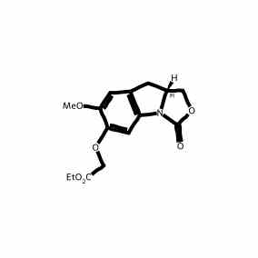 CCOC(=O)COc1cc2c(cc1OC)C[C@@H]1COC(=O)N21